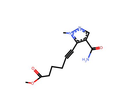 COC(=O)CCCC#Cc1c(C(N)=O)cnn1C